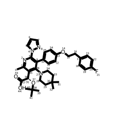 Cc1nc(-n2cccn2)c(-c2ccc(OCCc3ccc(F)cc3)cc2)c(N2CCC(C)(C)CC2)c1[C@H](OC(C)(C)C)C(=O)O